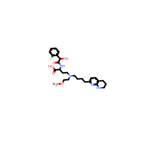 COCCN(CCCCc1ccc2c(n1)NCCC2)CCC(NC(=O)C(O)c1ccccc1F)C(=O)O